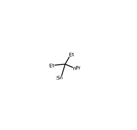 CCC[C]([Sn])(CC)CC